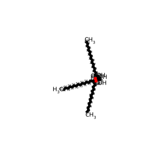 CCCCCCCCC=CCCCCCCCC(=O)C(O)(C(=O)CCCCCCCCCCCCCCCCC)C(O)(CO)C(=O)CCCCCCCCCCCCCCCCC